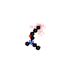 Bc1c(B)c(B)c(-c2ccc(-c3ccc4oc5cc(-c6nc(-c7ccccc7)nc(-c7ccc(-c8ccccc8)cc7)n6)ccc5c4c3)cc2)c(B)c1B